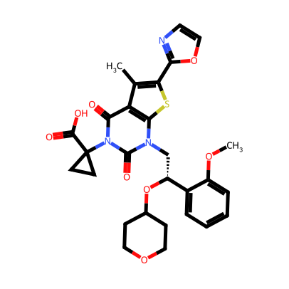 COc1ccccc1[C@@H](Cn1c(=O)n(C2(C(=O)O)CC2)c(=O)c2c(C)c(-c3ncco3)sc21)OC1CCOCC1